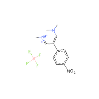 C/[NH+]=C/C(=CN(C)C)c1ccc([N+](=O)[O-])cc1.F[B-](F)(F)F